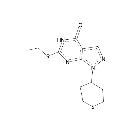 CCSc1nc2c(cnn2C2CCSCC2)c(=O)[nH]1